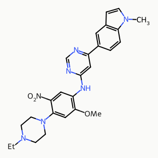 CCN1CCN(c2cc(OC)c(Nc3cc(-c4ccc5c(ccn5C)c4)ncn3)cc2[N+](=O)[O-])CC1